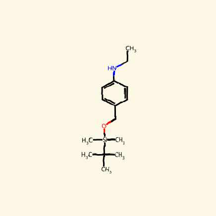 CCNc1ccc(CO[Si](C)(C)C(C)(C)C)cc1